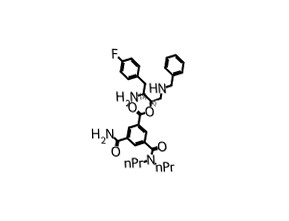 CCCN(CCC)C(=O)c1cc(C(N)=O)cc(C(=O)O[C@H](CNCc2ccccc2)[C@@H](N)Cc2ccc(F)cc2)c1